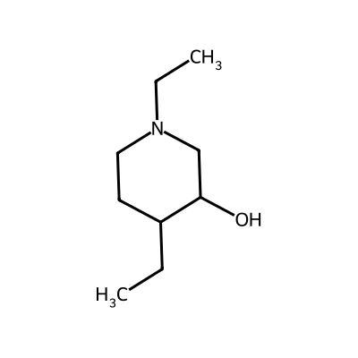 CCC1CCN(CC)CC1O